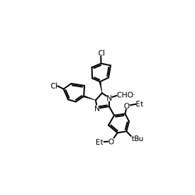 CCOc1cc(C(C)(C)C)c(OCC)cc1C1=N[C@@H](c2ccc(Cl)cc2)[C@@H](c2ccc(Cl)cc2)N1[C]=O